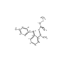 CCOC(=O)C=C(C)c1ccccc1Sc1ccc(Cl)cc1